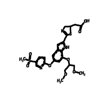 COCC(COC)Oc1cc(Oc2ccc(S(C)(=O)=O)cn2)cc2cc(C3=NCC(CC(=O)O)S3)[nH]c12